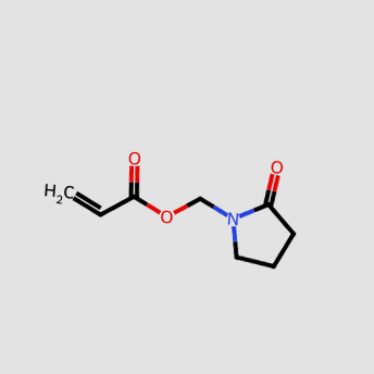 C=CC(=O)OCN1CCCC1=O